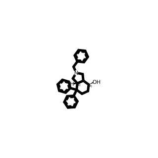 O[C@@H]1CCC(c2ccccc2)(c2ccccc2)[C@@H]2CN(Cc3ccccc3)CC12